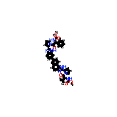 COC(=O)N[C@H](C(=O)N1CCC[C@H]1c1nc2c([nH]1)-c1ccc(-c3ccc4nc([C@@H]5CCCN5C(=O)[C@H](NC(=O)OC)c5ccccc5)[nH]c4c3)cc1CC2)C(C)C